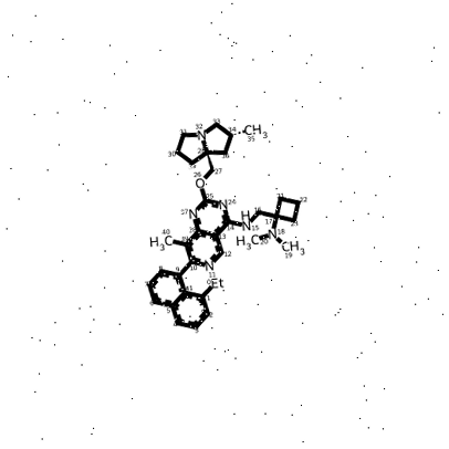 CCc1cccc2cccc(-c3ncc4c(NCC5(N(C)C)CCC5)nc(OC[C@@]56CCCN5C[C@H](C)C6)nc4c3C)c12